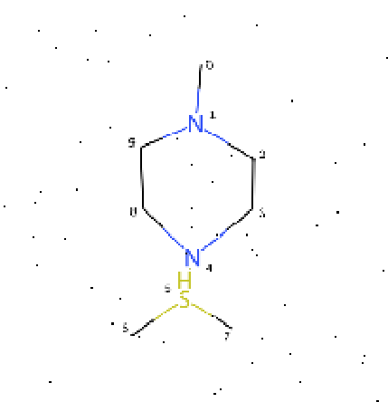 CN1CCN([SH](C)C)CC1